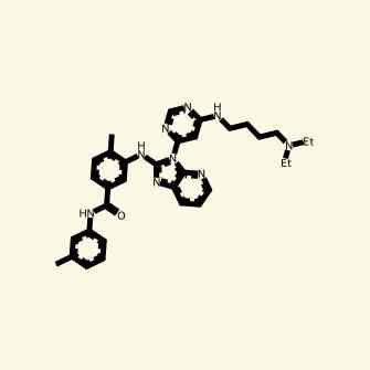 CCN(CC)CCCCNc1cc(-n2c(Nc3cc(C(=O)Nc4cccc(C)c4)ccc3C)nc3cccnc32)ncn1